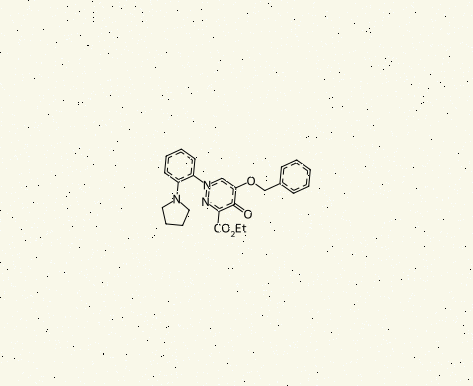 CCOC(=O)c1nn(-c2ccccc2N2CCCC2)cc(OCc2ccccc2)c1=O